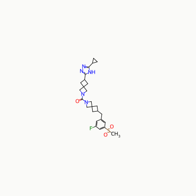 CS(=O)(=O)c1cc(F)cc(CC2CC3(C2)CN(C(=O)N2CC4(CC(c5nnc(C6CC6)[nH]5)C4)C2)C3)c1